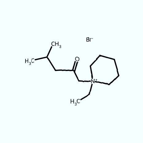 CC[N+]1(CC(=O)CC(C)C)CCCCC1.[Br-]